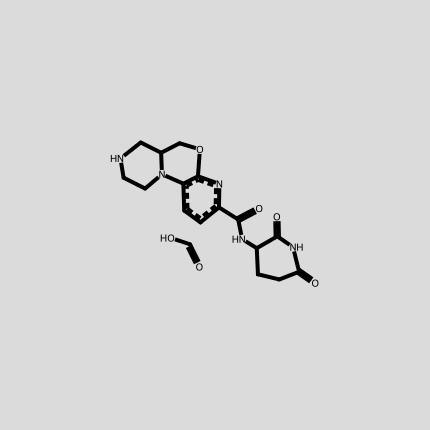 O=C1CCC(NC(=O)c2ccc3c(n2)OCC2CNCCN32)C(=O)N1.O=CO